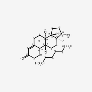 C[C@]12CC[C@H]3[C@@H](CCC4=CC(=O)CC[C@@]43C)[C@@H]1CC[C@@H]2O.O=C(O)CCCCC(=O)O